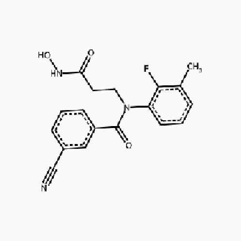 Cc1cccc(N(CCC(=O)NO)C(=O)c2cccc(C#N)c2)c1F